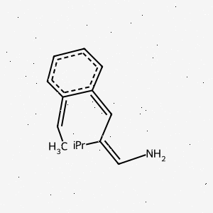 C/C=c1/cccc/c1=C/C(=C\N)C(C)C